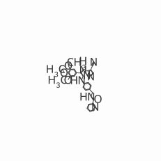 COc1cc(-c2[nH]c3c(C#N)cnn3c2Nc2ccc(CNC(=O)c3ccccn3)cc2)cc(OC)c1OC